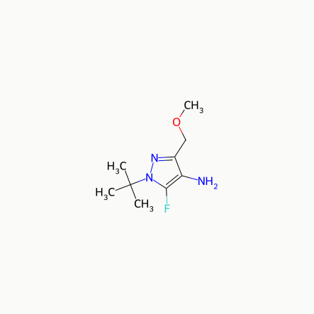 COCc1nn(C(C)(C)C)c(F)c1N